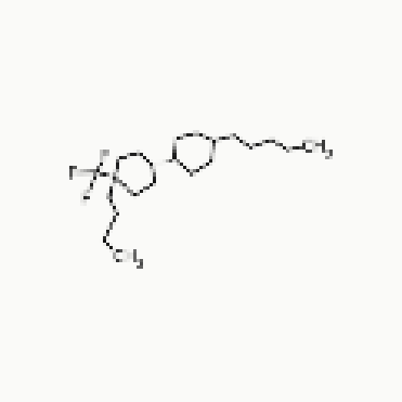 CCCCCC1CCC([C@H]2CC[C@@](CCCC)(C(F)(F)F)CC2)CC1